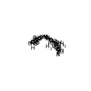 CC1(C)[C@H](NC(=O)c2ccc(N3CCN(CC4Cc5cc6c(cc5C4)C(=O)N([C@H]4CCC(=O)NC4=O)C6=O)CC3)cc2)C(C)(C)[C@H]1Oc1ccc(C#N)c(Cl)c1